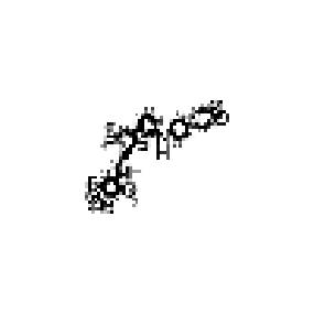 COc1cc(S(C)(=O)=O)c(F)cc1NCC#Cc1sc2c(NC3CCC(N4CCS(=O)(=O)CC4)CC3)cccc2c1CC(F)(F)F